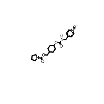 O=C(NCc1cc[n+]([O-])cc1)OC1CCC(COC(=O)N2CCCC2)CC1